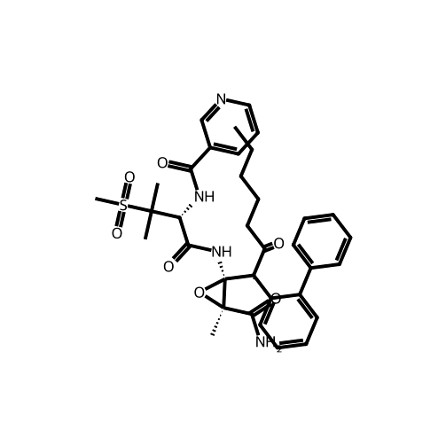 CCCCCC(=O)[C](c1ccccc1-c1ccccc1)[C@]1(NC(=O)[C@@H](NC(=O)c2cccnc2)C(C)(C)S(C)(=O)=O)O[C@]1(C)C(N)=O